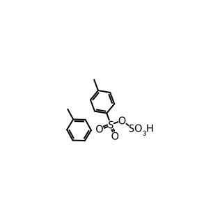 Cc1ccc(S(=O)(=O)OS(=O)(=O)O)cc1.Cc1ccccc1